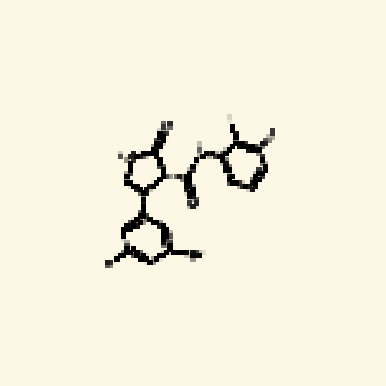 O=C1NC[C@H](c2cc(Br)cc(Br)c2)[C@H]1C(=O)Nc1cccc(F)c1F